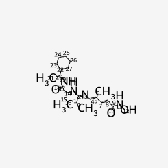 CC\C(=N/C=C(C)/C=C/C(=O)NO)N[C@H](CC)C(=O)N[C@@H](C)C1CCCCC1